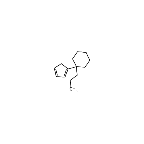 CCCC1(C2=CC=CC2)CCCCC1